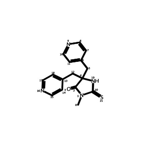 CN1C(=O)C(Cc2ccncc2)(Cc2ccncc2)NC1=S